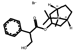 CC(C)[N+]1(C)[C@@H]2CC[C@H]1CC(OC(=O)C(CO)c1ccccc1)C2.[Br-]